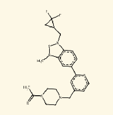 CC(=O)N1CCN(Cc2ccnc(-c3ccc4c(c3)N(C)SN4CC3CC3(F)F)c2)CC1